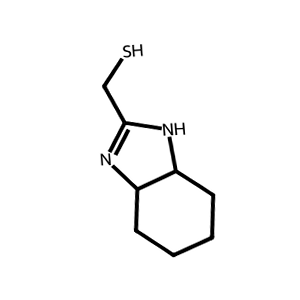 SCC1=NC2CCCCC2N1